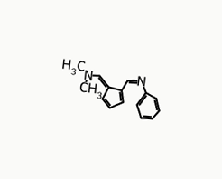 CN(C)/C=C1\C=CC=C1/C=N\c1ccccc1